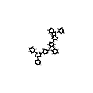 c1ccc(-c2cc(-c3ccc(-n4c5ccccc5c5cc(-c6cnc7c(c6)c6ccccc6n7-c6ccccc6)ccc54)cc3)nc(-c3ccccc3)n2)cc1